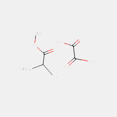 CCCCCCC(CC)C(=O)OC(C)(C)C.O=C(O)C(=O)O